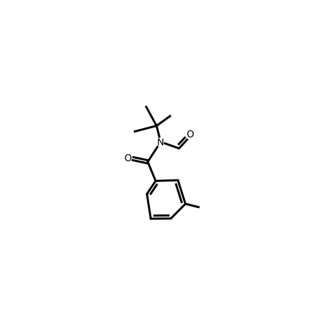 Cc1cccc(C(=O)N(C=O)C(C)(C)C)c1